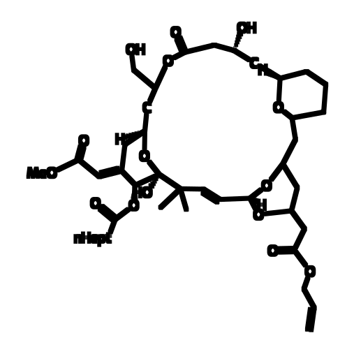 C=CCOC(=O)CC1CC2CC3CCC[C@@H](C[C@@H](O)CC(=O)OC(CO)C[C@@H]4C/C(=C\C(=O)OC)[C@H](OC(=O)CCCCCCC)[C@@](O)(O4)C(C)(C)/C=C/[C@@H](O1)O2)O3